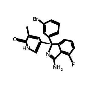 Cc1cc([C@]2(c3cccc(Br)c3)N=C(N)c3c(F)cccc32)c[nH]c1=O